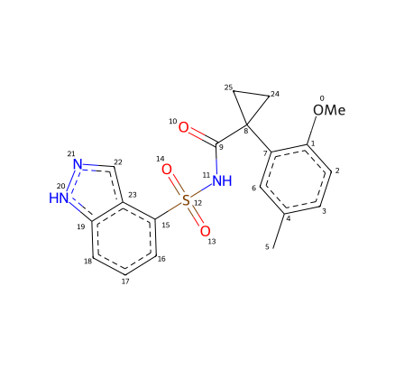 COc1ccc(C)cc1C1(C(=O)NS(=O)(=O)c2cccc3[nH]ncc23)CC1